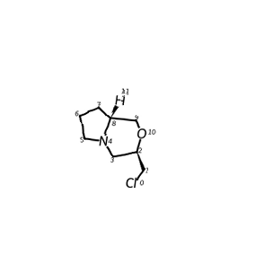 ClC[C@H]1CN2CCC[C@@H]2CO1